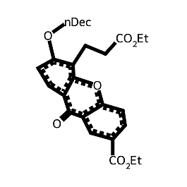 CCCCCCCCCCOc1ccc2c(=O)c3cc(C(=O)OCC)ccc3oc2c1CCC(=O)OCC